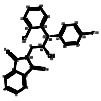 O=C1c2ccccc2C(=O)N1C[C@H](O)[C@@H](c1ccc(F)cc1)c1ccccc1Cl